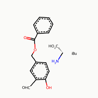 CC[C@H](C)[C@H](N)C(=O)O.O=Cc1cc(COC(=O)c2cc[c]cc2)ccc1O